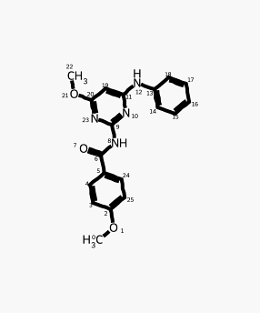 COc1ccc(C(=O)Nc2nc(Nc3ccccc3)cc(OC)n2)cc1